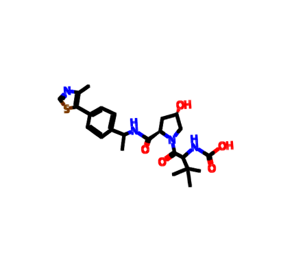 Cc1ncsc1-c1ccc(C(C)NC(=O)[C@H]2C[C@H](O)CN2C(=O)C(NC(=O)O)C(C)(C)C)cc1